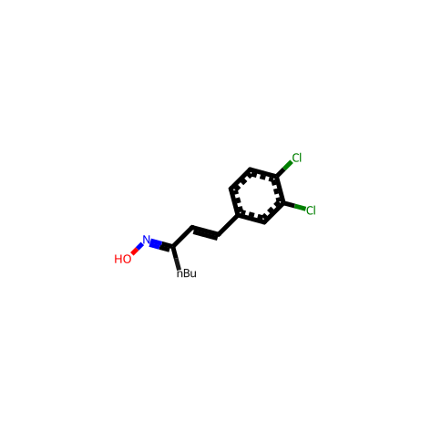 CCCCC(/C=C/c1ccc(Cl)c(Cl)c1)=N\O